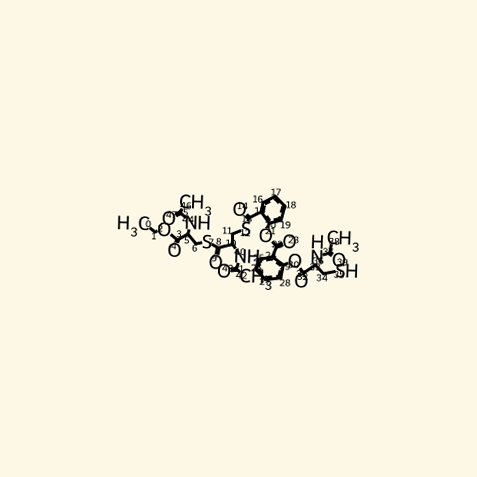 CCOC(=O)C(CSC(=O)C(CSC(=O)c1ccccc1OC(=O)c1ccccc1OC(=O)C(CS)NC(C)=O)NC(C)=O)NC(C)=O